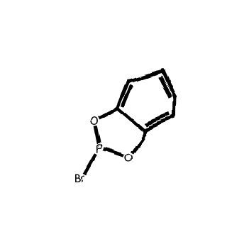 BrP1Oc2ccccc2O1